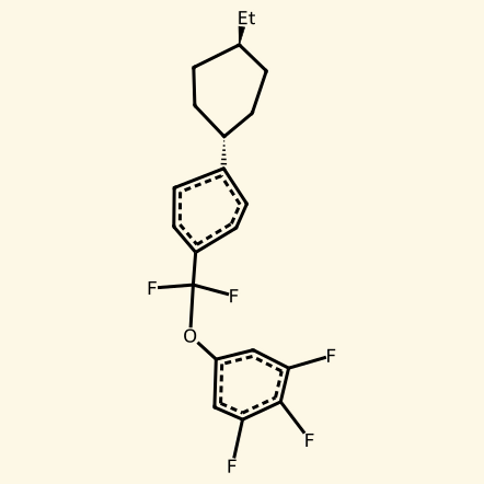 CC[C@H]1CC[C@H](c2ccc(C(F)(F)Oc3cc(F)c(F)c(F)c3)cc2)CC1